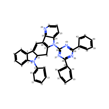 C1=C2c3ccccc3N(c3ccccc3)C2Cc2c1c1ncccc1n2-c1nc(-c2ccccc2)nc(-c2ccccc2)n1